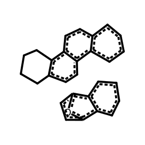 c1ccc2c(c1)ccc1c3c(ccc12)CCCC3.c1ccc2c3ccc(o3)c2c1